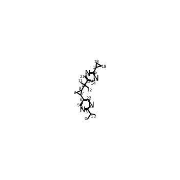 CC(C)c1ncc(C2CC2C(C)(C)c2cnc(C3CC3)nc2)cn1